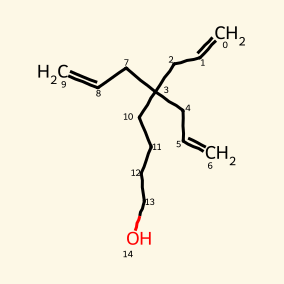 C=CCC(CC=C)(CC=C)CCCCO